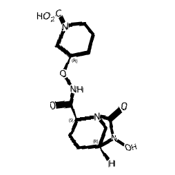 O=C(NO[C@@H]1CCCN(C(=O)O)C1)[C@@H]1CC[C@@H]2CN1C(=O)N2O